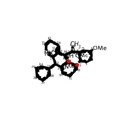 COc1ccc(OC)c(CNC2C3CCN(CC3C(=O)N(C)OC)C2C(c2ccccc2)c2ccccc2)c1